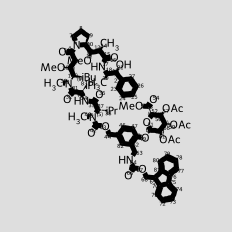 CC[C@H](C)[C@@H]([C@@H](CC(=O)N1CCC[C@H]1[C@H](OC)[C@@H](C)C(=O)N[C@H](C)[C@@H](O)c1ccccc1)OC)N(C)C(=O)[C@@H](NC(=O)[C@H](C(C)C)N(C)C(=O)OCc1ccc(O[C@@H]2O[C@H](C(=O)OC)[C@@H](OC(C)=O)[C@H](OC(C)=O)[C@H]2OC(C)=O)c(CNC(=O)OCC2c3ccccc3-c3ccccc32)c1)C(C)C